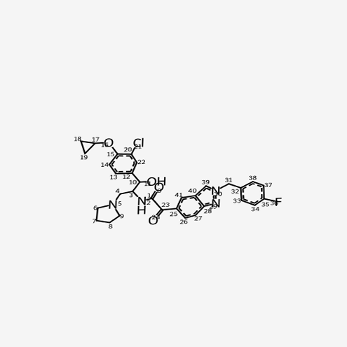 O=C(NC(CN1CCCC1)C(O)c1ccc(OC2CC2)c(Cl)c1)C(=O)c1ccc2nn(Cc3ccc(F)cc3)cc2c1